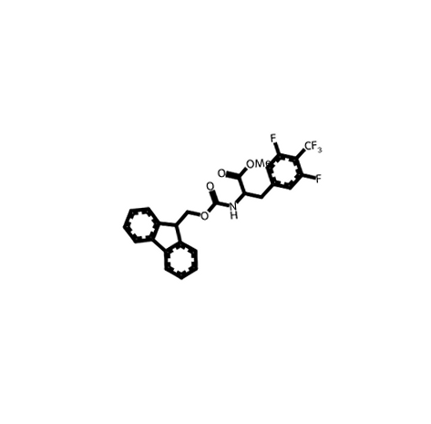 COC(=O)C(Cc1cc(F)c(C(F)(F)F)c(F)c1)NC(=O)OCC1c2ccccc2-c2ccccc21